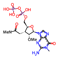 CNC(=O)C[C@H]1[C@@H](OC)[C@H](n2cnc3c(=O)n(C)c(N)nc32)O[C@@H]1COP(=O)(O)OP(=O)(O)O